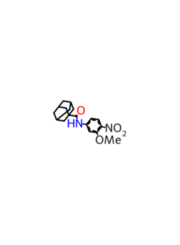 COc1cc(NC(=O)C23CC4CC(CC(C4)C2)C3)ccc1[N+](=O)[O-]